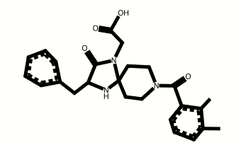 Cc1cccc(C(=O)N2CCC3(CC2)NC(Cc2ccccc2)C(=O)N3CC(=O)O)c1C